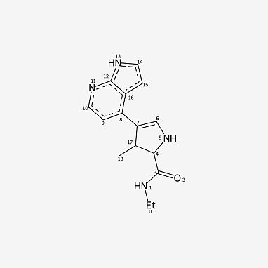 CCNC(=O)C1NC=C(c2ccnc3[nH]ccc23)C1C